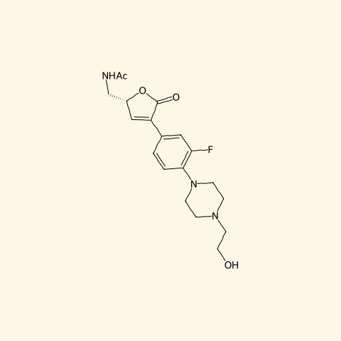 CC(=O)NC[C@H]1C=C(c2ccc(N3CCN(CCO)CC3)c(F)c2)C(=O)O1